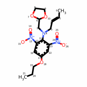 CC=CCN(CC1OCCO1)c1c([N+](=O)[O-])cc(OCCC)cc1[N+](=O)[O-]